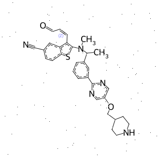 CC(c1cccc(-c2ncc(OCC3CCNCC3)cn2)c1)N(C)c1sc2ccc(C#N)cc2c1/C=C\C=O